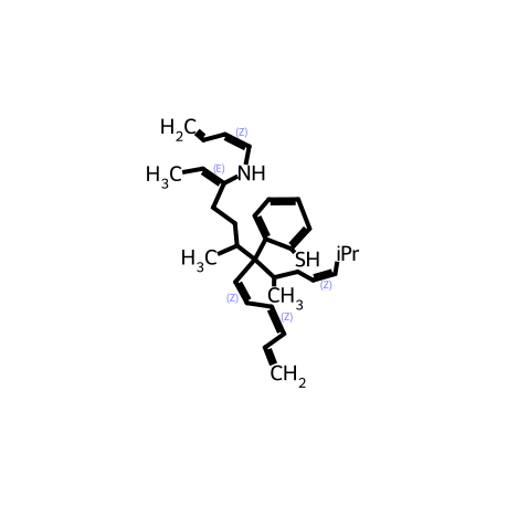 C=C/C=C\C=C/C(c1ccccc1S)(C(C)C/C=C\C(C)C)C(C)CC/C(=C\C)N/C=C\C=C